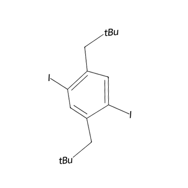 CC(C)(C)Cc1cc(I)c(CC(C)(C)C)cc1I